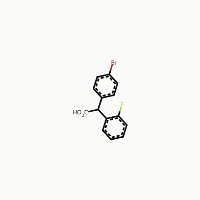 O=C(O)C(c1ccc(Br)cc1)c1ccccc1F